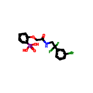 O=C(COc1ccccc1P(=O)(O)O)NCC(F)(F)c1cccc(Br)c1